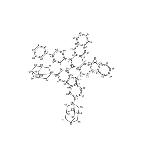 c1ccc(-c2ccc(N3B4c5c(cc6c(oc7ccccc76)c5-c5cc6ccccc6cc53)-n3c5ccc(C67CC8CC(CC(C8)C6)C7)cc5c5cc(C67CC8CC(CC(C8)C6)C7)cc4c53)cc2)cc1